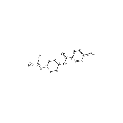 CCCCc1ccc(C(=O)OC2CCC(C=C(F)C#N)CC2)cc1